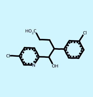 O=C(O)CCC(c1cccc(Cl)c1)C(O)c1ccc(Cl)cn1